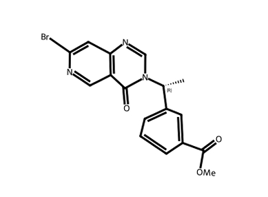 COC(=O)c1cccc([C@@H](C)n2cnc3cc(Br)ncc3c2=O)c1